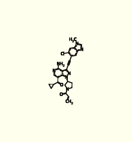 C=CC(=O)N1CC[C@H](n2nc(C#Cc3cc4ncn(C)c4cc3Cl)c3c(N)ncc(C(=O)C4CC4)c32)C1